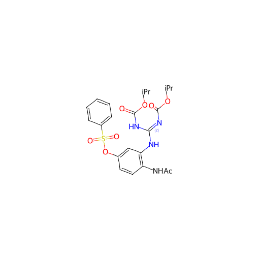 CC(=O)Nc1ccc(OS(=O)(=O)c2ccccc2)cc1N/C(=N/C(=O)OC(C)C)NC(=O)OC(C)C